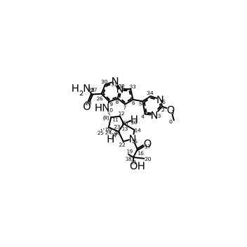 COc1ncc(-c2cc3c(N[C@@H]4C[C@@H]5CN(C(=O)C(C)(C)O)C[C@H]5[C@@H]4C)c(C(N)=O)cnn3c2)cn1